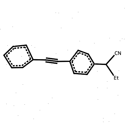 CCC(C#N)c1ccc(C#Cc2ccccc2)cc1